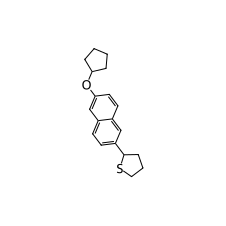 c1cc2cc(C3CCCS3)ccc2cc1OC1CCCC1